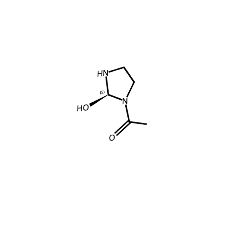 CC(=O)N1CCN[C@@H]1O